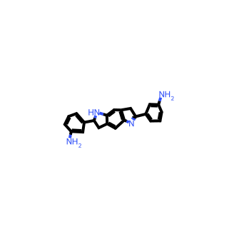 Nc1cccc(C2=Nc3cc4c(cc3C2)NC(c2cccc(N)c2)C4)c1